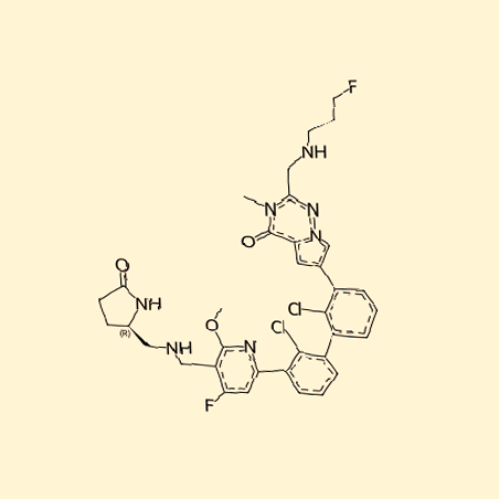 COc1nc(-c2cccc(-c3cccc(-c4cc5c(=O)n(C)c(CNCCCF)nn5c4)c3Cl)c2Cl)cc(F)c1CNC[C@H]1CCC(=O)N1